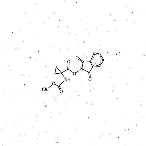 CC(C)(C)OC(=O)NC1(C(=O)ON2C(=O)c3ccccc3C2=O)CC1